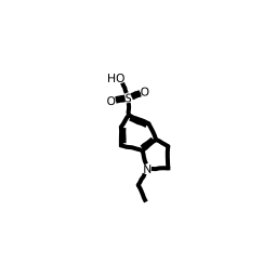 CCN1CCc2cc(S(=O)(=O)O)ccc21